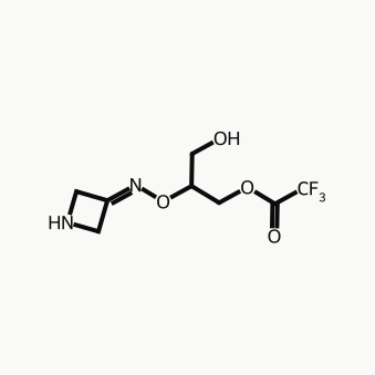 O=C(OCC(CO)ON=C1CNC1)C(F)(F)F